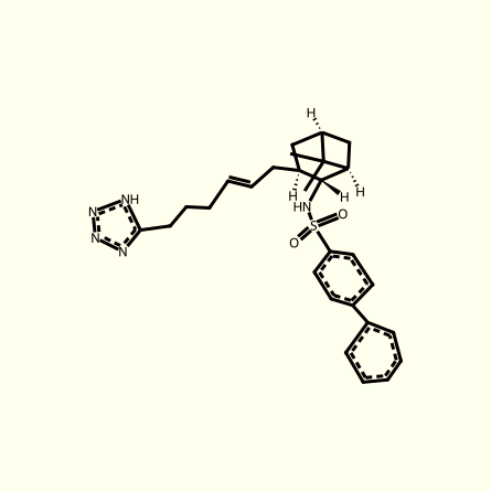 CC1(C)[C@H]2C[C@H](CC=CCCCc3nnn[nH]3)[C@@H](NS(=O)(=O)c3ccc(-c4ccccc4)cc3)[C@@H]1C2